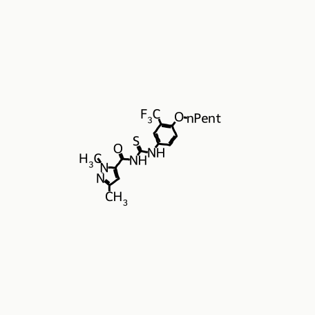 CCCCCOc1ccc(NC(=S)NC(=O)c2cc(C)nn2C)cc1C(F)(F)F